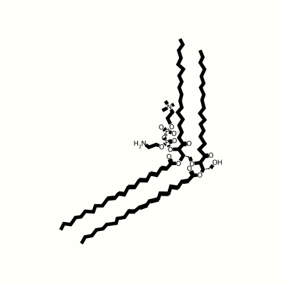 CCCCCCCCCC=CC=CC=CC=CC=CC=CC(=O)O[C@@H](CO)C(OC[C@H](OC(=O)C=CC=CC=CC=CC=CC=CCCCCCCCCC)C(OP(=O)(OCCN)OP(=O)([O-])OCC[N+](C)(C)C)C(=O)CCCCCCCCCCCCCCCCC)C(=O)CCCCCCCCCCCCCCCCC